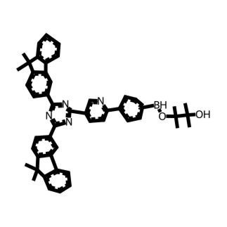 CC1(C)c2ccccc2-c2cc(-c3nc(-c4ccc(-c5ccc(BOC(C)(C)C(C)(C)O)cc5)nc4)nc(-c4ccc5c(c4)-c4ccccc4C5(C)C)n3)ccc21